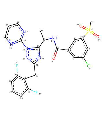 CC(NC(=O)c1cc(Cl)cc(S(C)(=O)=O)c1)c1nc(Cc2c(F)cccc2F)nn1-c1ncccn1